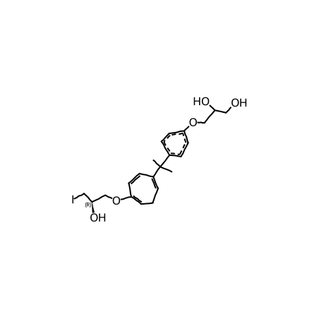 CC(C)(C1=CCC=C(OC[C@@H](O)CI)C=C1)c1ccc(OCC(O)CO)cc1